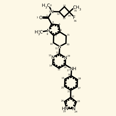 CN(C(=O)c1cc2c(n1C)CN(c1nccc(Nc3ccc(-c4cn[nH]c4)cc3)n1)CC2)C1CC(C)(F)C1